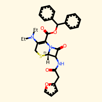 CCN(CC)C1=C(C(=O)OC(c2ccccc2)c2ccccc2)N2C(=O)C(NC(=O)Cc3ccco3)[C@@H]2SC1